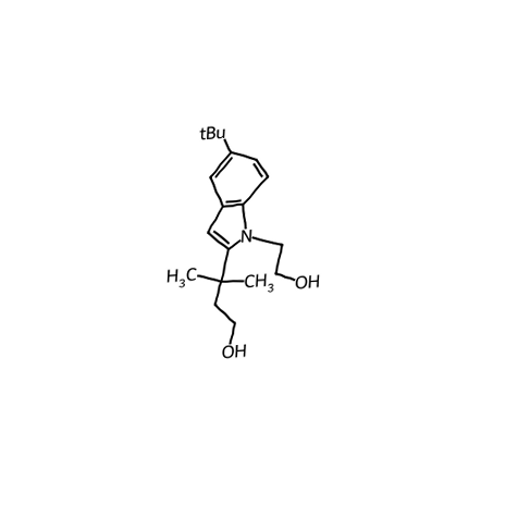 CC(C)(C)c1ccc2c(c1)cc(C(C)(C)CCO)n2CCO